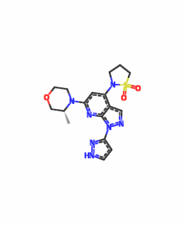 C[C@@H]1COCCN1c1cc(N2CCCS2(=O)=O)c2cnn(-c3cc[nH]n3)c2n1